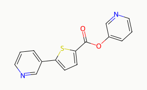 O=C(Oc1cccnc1)c1ccc(-c2cccnc2)s1